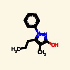 CCCc1c(C)c(O)nn1-c1ccccc1